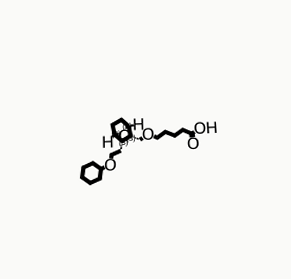 O=C(O)CCCCOC[C@@H]1[C@H](CCOC2CCCCC2)[C@@H]2CC[C@H]1O2